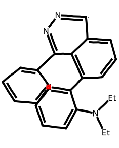 CCN(CC)c1cccnc1-c1cccc2[c]nnc(-c3ccccc3)c12